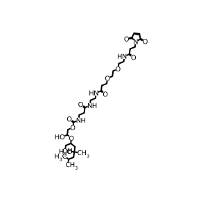 CC(C)CC(C)(C)CC(CO)OC(O)COC(=O)NCCC(=O)NCCNC(=O)CCOCCOCCNC(=O)CCN1C(=O)C=CC1=O